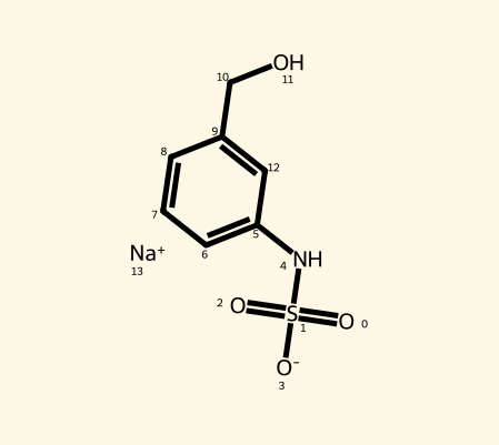 O=S(=O)([O-])Nc1cccc(CO)c1.[Na+]